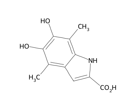 Cc1c(O)c(O)c(C)c2[nH]c(C(=O)O)cc12